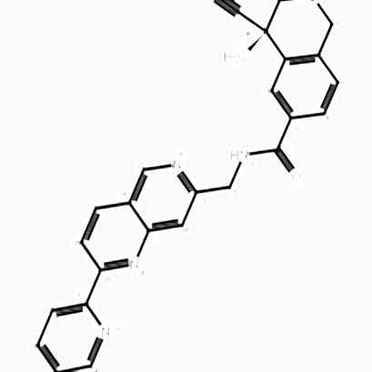 C[C@@]1(C#N)COCc2ccc(C(=O)NCc3cc4nc(-c5ccccn5)ccc4cn3)cc21